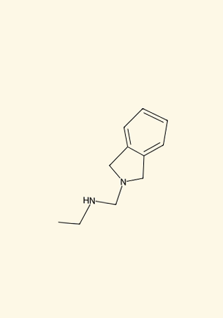 CCNCN1Cc2ccccc2C1